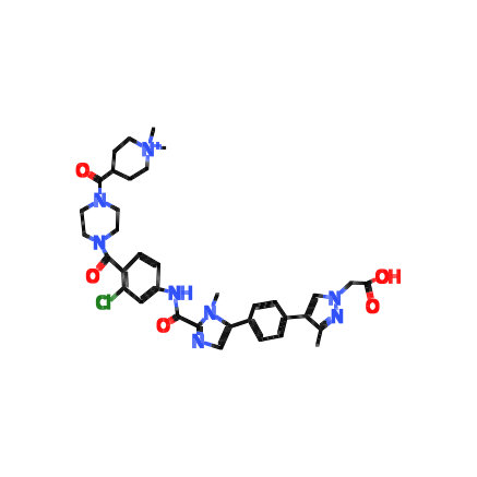 Cc1nn(CC(=O)O)cc1-c1ccc(-c2cnc(C(=O)Nc3ccc(C(=O)N4CCN(C(=O)C5CC[N+](C)(C)CC5)CC4)c(Cl)c3)n2C)cc1